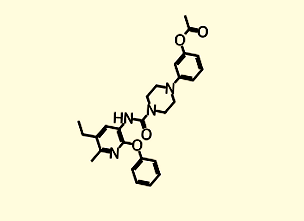 CCc1cc(NC(=O)N2CCN(c3cccc(OC(C)=O)c3)CC2)c(Oc2ccccc2)nc1C